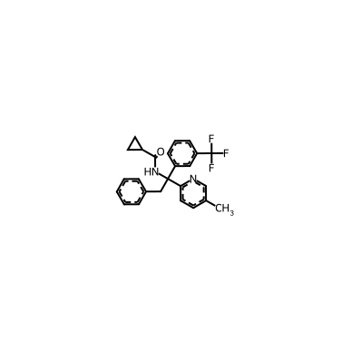 Cc1ccc(C(Cc2ccccc2)(NC(=O)C2CC2)c2cccc(C(F)(F)F)c2)nc1